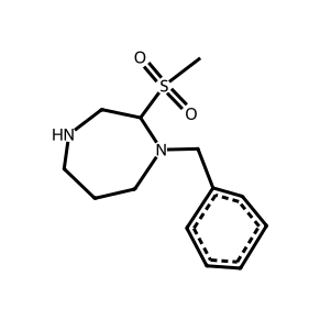 CS(=O)(=O)C1CNCCCN1Cc1ccccc1